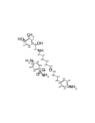 Cc1cc(C(O)CNCCCCCCOCCCCc2ccc(N)cc2)ccc1O.Nc1ccc(S(N)(=O)=O)cc1